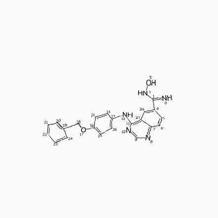 N=C(NO)c1ccc2ncnc(Nc3ccc(OCc4ccccc4)cc3)c2c1